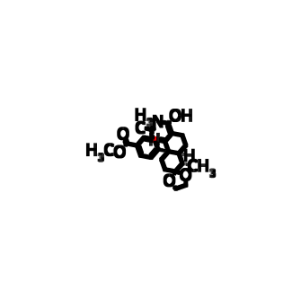 COC(=O)c1ccc([C@]23CCC4(OCCO4)[C@@H](C)[C@@H]2CCc2c(O)nc(C)nc23)cc1